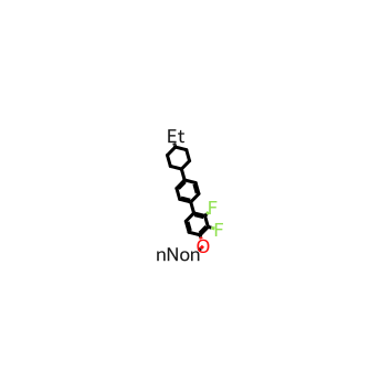 CCCCCCCCCOc1ccc(-c2ccc(C3CCC(CC)CC3)cc2)c(F)c1F